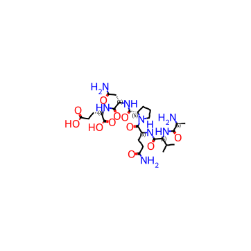 CC(C)[C@H](NC(=O)[C@H](C)N)C(=O)N[C@@H](CCC(N)=O)C(=O)N1CCC[C@H]1C(=O)N[C@@H](CC(N)=O)C(=O)N[C@@H](CCC(=O)O)C(=O)O